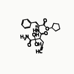 C#CCC(C(=O)N[C@@H](Cc1ccccc1)C(=O)OC1CCCC1)C(O)(O)C(N)=O